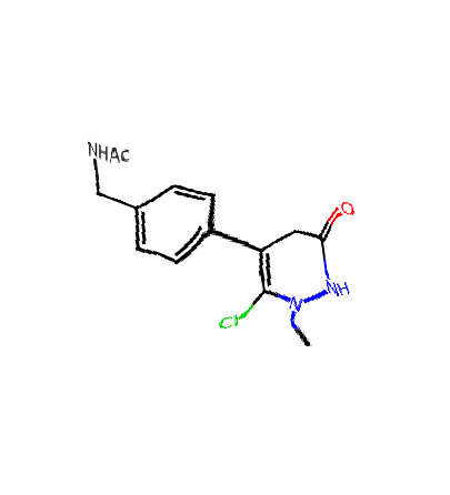 CC(=O)NCc1ccc(C2=C(Cl)N(C)NC(=O)C2)cc1